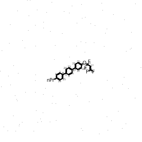 CCCc1ccc(-c2ccc(-c3ccc(OC(F)(F)C=C(F)F)cc3)cc2)cc1